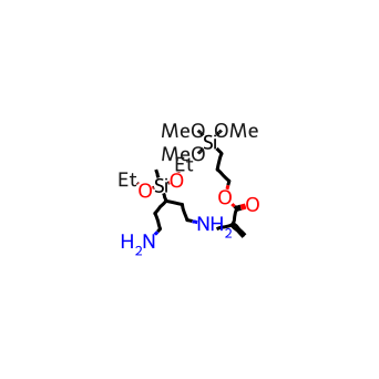 C=C(C)C(=O)OCCC[Si](OC)(OC)OC.CCO[Si](C)(OCC)C(CCN)CCN